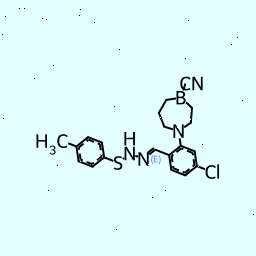 Cc1ccc(SN/N=C/c2ccc(Cl)cc2N2CCCB(C#N)CC2)cc1